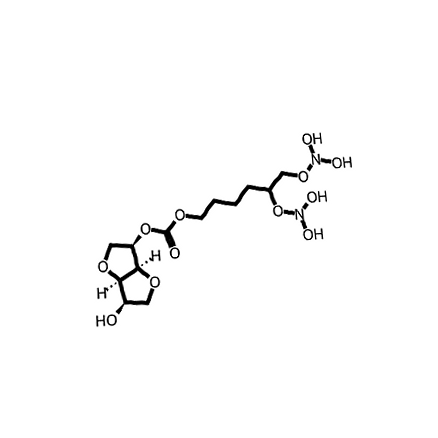 O=C(OCCCCC(CON(O)O)ON(O)O)O[C@@H]1CO[C@H]2[C@@H]1OC[C@H]2O